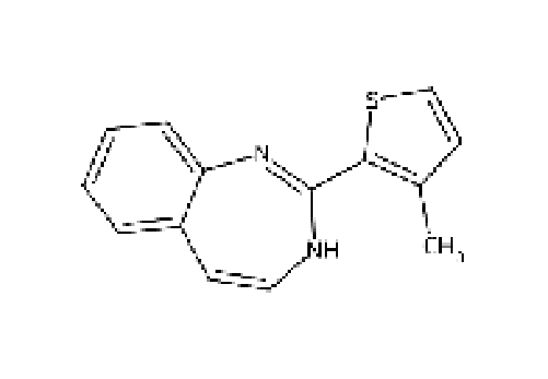 Cc1ccsc1C1=Nc2ccccc2C=CN1